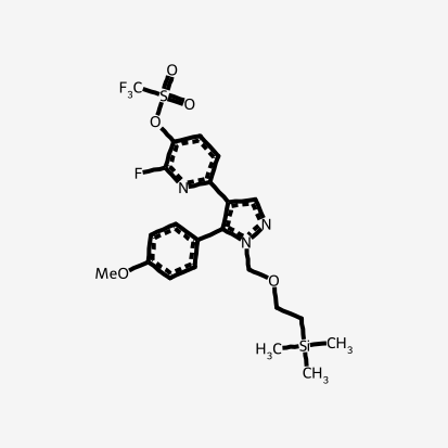 COc1ccc(-c2c(-c3ccc(OS(=O)(=O)C(F)(F)F)c(F)n3)cnn2COCC[Si](C)(C)C)cc1